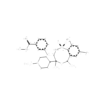 CCOC(=O)N1CCC(C2(C)OC(C)c3cc(C(C)C)cc(C(C)C)c3S(=O)(=O)N[C@H]2Cc2cccc(C(=N)NO)c2)CC1